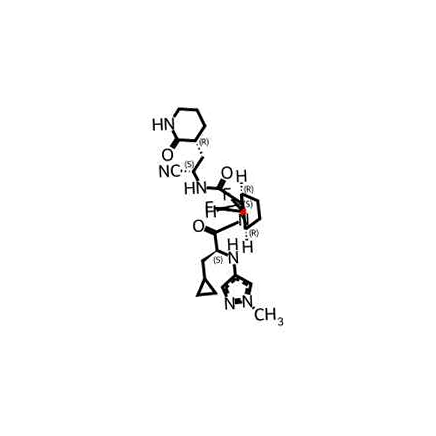 Cn1cc(N[C@@H](CC2CC2)C(=O)N2[C@@H]3CC[C@H]([C@H]2C(=O)N[C@H](C#N)C[C@H]2CCCNC2=O)C(F)(F)C3)cn1